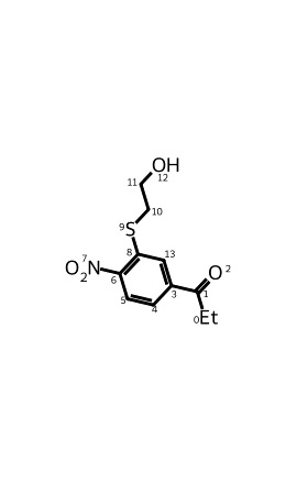 CCC(=O)c1ccc([N+](=O)[O-])c(SCCO)c1